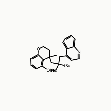 COc1cccc2c1C(C)(CC(O)(Cc1ccnc3ccccc13)C(C)(C)C)CCO2